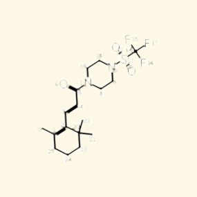 CC1=C(C=CC(=O)N2CCN(S(=O)(=O)C(F)(F)F)CC2)C(C)(C)CCC1